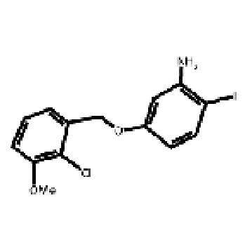 COc1cccc(COc2ccc(F)c(N)c2)c1Cl